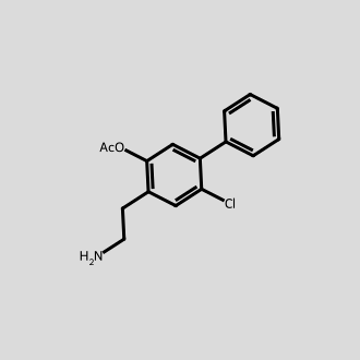 CC(=O)Oc1cc(-c2ccccc2)c(Cl)cc1CCN